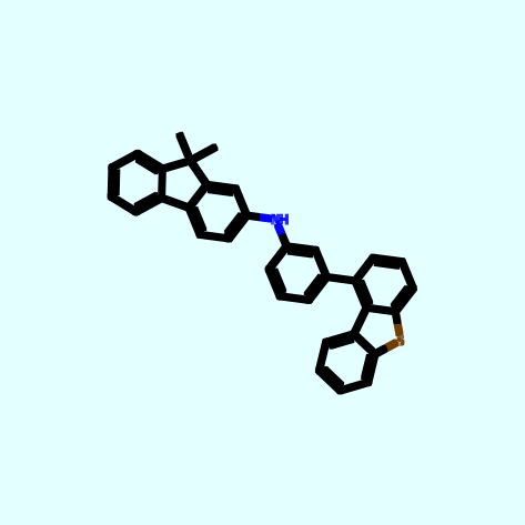 CC1(C)c2ccccc2-c2ccc(Nc3cccc(-c4cccc5sc6ccccc6c45)c3)cc21